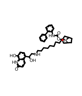 O=C(Nc1ccccc1-c1ccccc1)OC1CC2CCC(C1)N2CCCCCCCCCNCC(O)c1ccc(O)c2[nH]c(=O)ccc12